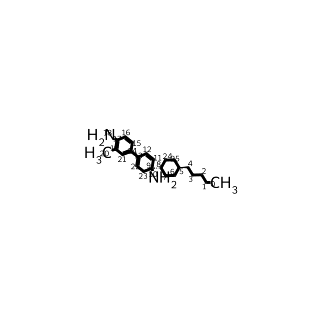 CCCCC[C@H]1CC[C@H](C2(N)C=CC(c3ccc(N)c(C)c3)=CC2)CC1